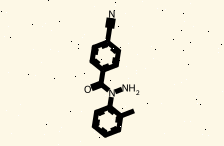 Cc1ccccc1N(N)C(=O)c1ccc(C#N)cc1